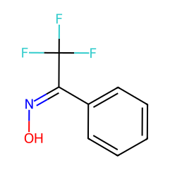 O/N=C(\c1ccccc1)C(F)(F)F